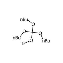 CCCCOC([O][Ti])(OCCCC)OCCCC